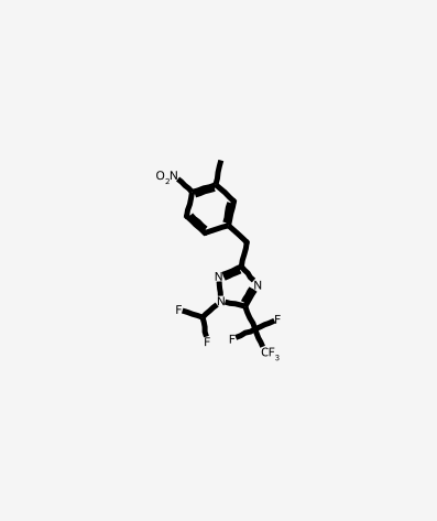 Cc1cc(Cc2nc(C(F)(F)C(F)(F)F)n(C(F)F)n2)ccc1[N+](=O)[O-]